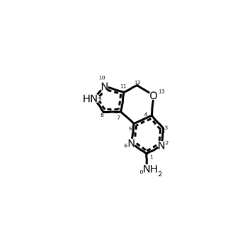 Nc1ncc2c(n1)-c1c[nH]nc1CO2